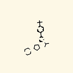 CC(C)n1nc(-c2ccc(C(F)(F)F)nc2)nc1[C@@H]1CC[C@H](N2CCOCC2)C1